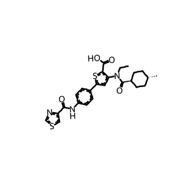 CCN(c1cc(-c2ccc(NC(=O)c3cscn3)cc2)sc1C(=O)O)C(=O)[C@H]1CC[C@H](C)CC1